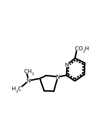 CN(C)C1CCN(c2cccc(C(=O)O)n2)C1